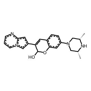 C[C@@H]1CN(c2ccc3c(c2)OC(O)C(c2cc4ncccn4c2)=C3)C[C@H](C)N1